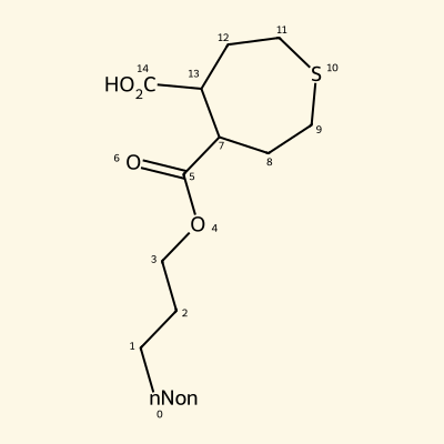 CCCCCCCCCCCCOC(=O)C1CCSCCC1C(=O)O